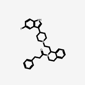 O=C(CCc1ccccc1)N1CCc2ccccc2C1CCN1CCC(c2c[nH]c3ccc(F)cc23)CC1